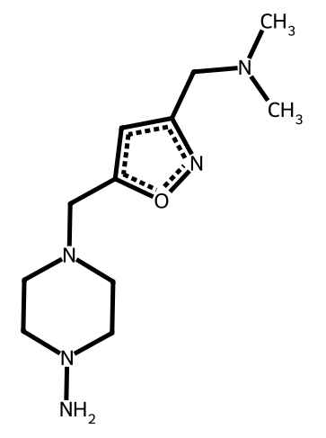 CN(C)Cc1cc(CN2CCN(N)CC2)on1